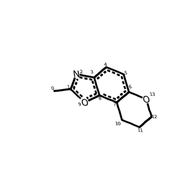 Cc1nc2ccc3c(c2o1)CCCO3